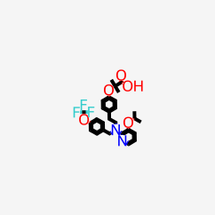 CC(C)Oc1cccnc1N(CCc1ccc(OC(C)(C)C(=O)O)cc1)Cc1ccc(OC(F)(F)F)cc1